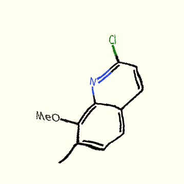 COc1c(C)ccc2ccc(Cl)nc12